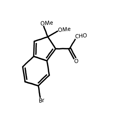 COC1(OC)C=c2ccc(Br)cc2=C1C(=O)C=O